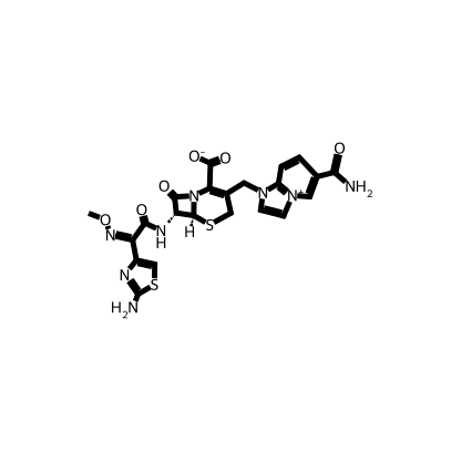 CO/N=C(\C(=O)N[C@@H]1C(=O)N2C(C(=O)[O-])=C(Cn3cc[n+]4cc(C(N)=O)ccc34)CS[C@@H]12)c1csc(N)n1